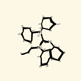 CCCN(C(=NC1CCCCC1)N(C1CCCCC1)C1CCCCC1)C1CCCCC1